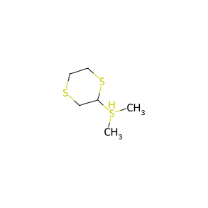 C[SH](C)C1CSCCS1